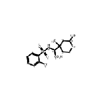 CCc1ccccc1S(=O)(=O)NC(C(=O)O)C1(N=O)CCSC(S)C1